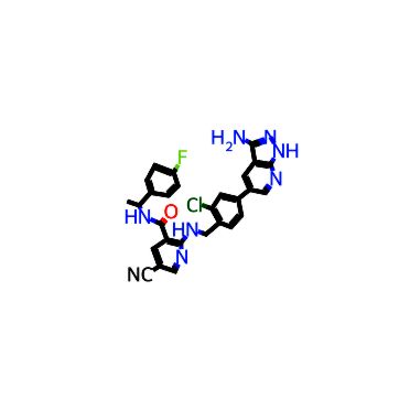 CC(NC(=O)c1cc(C#N)cnc1NCc1ccc(-c2cnc3[nH]nc(N)c3c2)cc1Cl)c1ccc(F)cc1